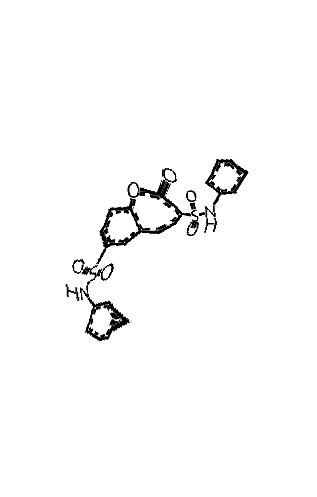 O=c1oc2ccc(S(=O)(=O)Nc3ccccc3)cc2cc1S(=O)(=O)Nc1ccccc1